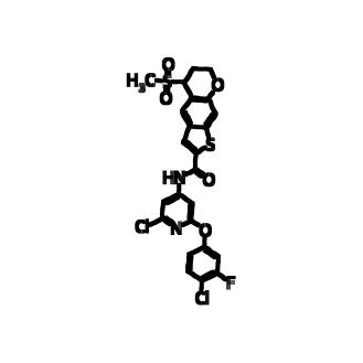 CS(=O)(=O)C1CCOc2cc3sc(C(=O)Nc4cc(Cl)nc(Oc5ccc(Cl)c(F)c5)c4)cc3cc21